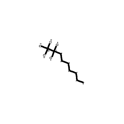 [CH2]CCCCCCC(Cl)(Cl)C(Cl)(Cl)Cl